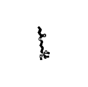 CC=CC(=O)OCCCC[Si](OC)(OC)OC